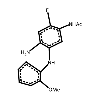 COc1ccccc1Nc1cc(NC(C)=O)c(F)cc1N